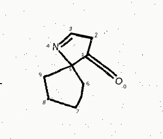 O=C1CC=NC12CCCC2